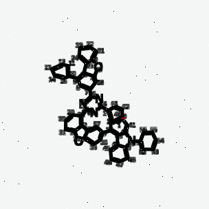 c1ccc(-c2nc(-c3cc(-c4ccccc4)c4c(c3)oc3ccccc34)nc(-c3cccc4oc5ccc(-c6cccc7c6c6ccccc6n7-c6ccccc6)cc5c34)n2)cc1